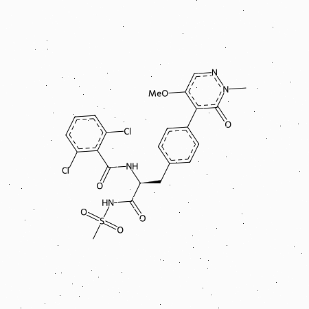 COc1cnn(C)c(=O)c1-c1ccc(C[C@H](NC(=O)c2c(Cl)cccc2Cl)C(=O)NS(C)(=O)=O)cc1